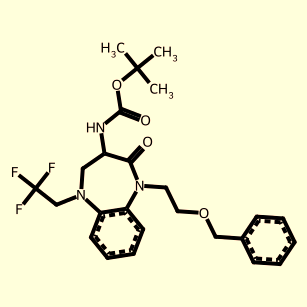 CC(C)(C)OC(=O)NC1CN(CC(F)(F)F)c2ccccc2N(CCOCc2ccccc2)C1=O